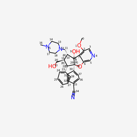 COc1cncc2c1[C@]1(O)[C@@H](CN3CCN(C)CC3)[C@H](CO)[C@@H](c3ccccc3)[C@]1(c1ccc(C#N)cc1)O2